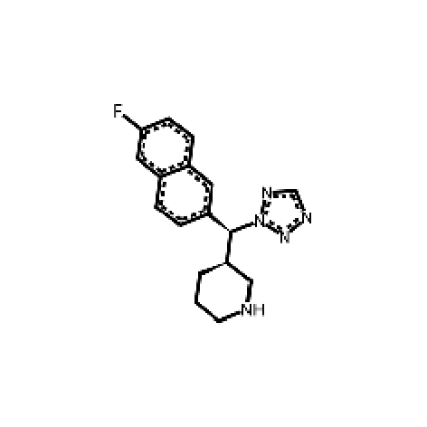 Fc1ccc2cc([C@H]([C@@H]3CCCNC3)n3ncnn3)ccc2c1